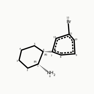 N[C@@H]1CCCC[C@@H]1c1cccc(Br)c1